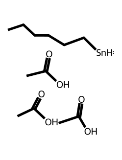 CC(=O)O.CC(=O)O.CC(=O)O.CCCCC[CH2][SnH]